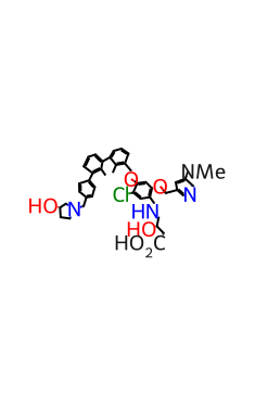 CNc1cncc(COc2cc(OCc3cccc(-c4cccc(-c5ccc(CN6CC[C@H](O)C6)cc5)c4C)c3C)c(Cl)cc2CNC[C@@H](O)CC(=O)O)c1